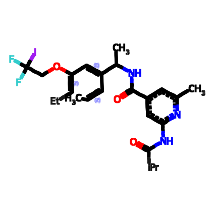 C\C=C/C(=C\C(=C\CC)OCC(F)(F)I)C(C)NC(=O)c1cc(C)nc(NC(=O)C(C)C)c1